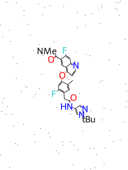 CNC(=O)c1cc2c(Oc3cc(F)c(CC(=O)Nc4cnn(C(C)(C)C)c4)cc3C)ccnc2cc1F